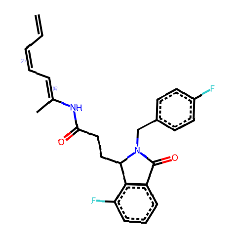 C=C/C=C\C=C(/C)NC(=O)CCC1c2c(F)cccc2C(=O)N1Cc1ccc(F)cc1